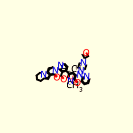 C[C@H]1CN(C2COC2)CCN1N(c1ccccn1)c1cc(-c2ccnc(-n3ccc4c(cc5n4CCCC5)c3=O)c2CO)cn(C)c1=O